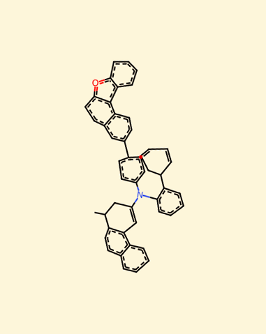 CC1CC(N(c2ccc(-c3ccc4c(ccc5oc6ccccc6c54)c3)cc2)c2ccccc2C2C=CC=CC2)=Cc2c1ccc1ccccc21